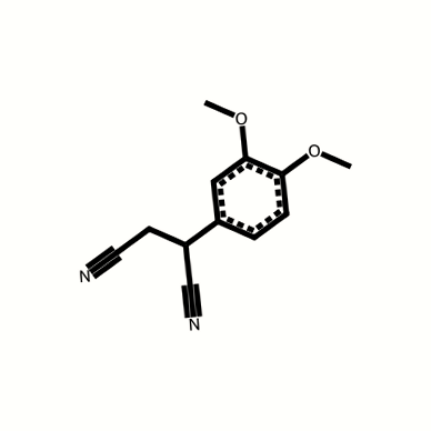 COc1ccc(C(C#N)CC#N)cc1OC